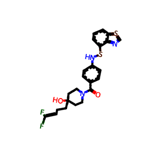 O=C(c1ccc(NSc2cccc3scnc23)cc1)N1CCC(O)(CCC=C(F)F)CC1